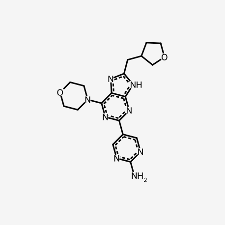 Nc1ncc(-c2nc(N3CCOCC3)c3nc(CC4CCOC4)[nH]c3n2)cn1